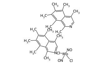 Cc1c(C)c(C)c2c(C)ncc(C)c2c1C.Cc1c(C)c(C)c2c(C)ncc(C)c2c1C.O=[N][Mo]([Cl])([Cl])[N]=O